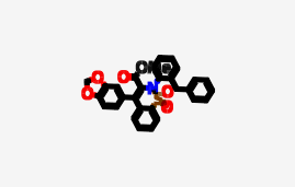 COC(=O)C1=C(c2ccc3c(c2)OCO3)c2ccccc2S(=O)(=O)N1c1ccccc1Cc1ccccc1